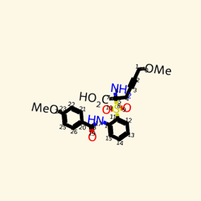 COCC#CCC(N)(C(=O)O)S(=O)(=O)c1ccccc1NC(=O)c1ccc(OC)cc1